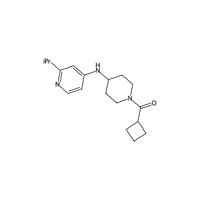 CC(C)c1cc(NC2CCN(C(=O)C3CCC3)CC2)ccn1